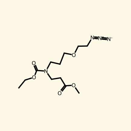 CCOC(=O)N(CCCOCCN=[N+]=[N-])CCC(=O)OC